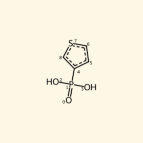 O=P(O)(O)c1ccsc1